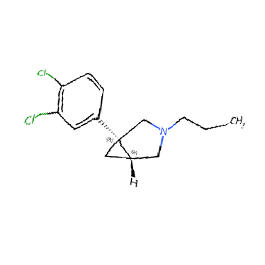 CCCN1C[C@@H]2C[C@@]2(c2ccc(Cl)c(Cl)c2)C1